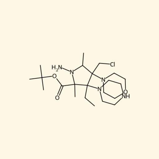 CCC1(N2CCNCC2)C(C)(C(=O)OC(C)(C)C)N(N)C(C)C1(CCl)N1CCOCC1